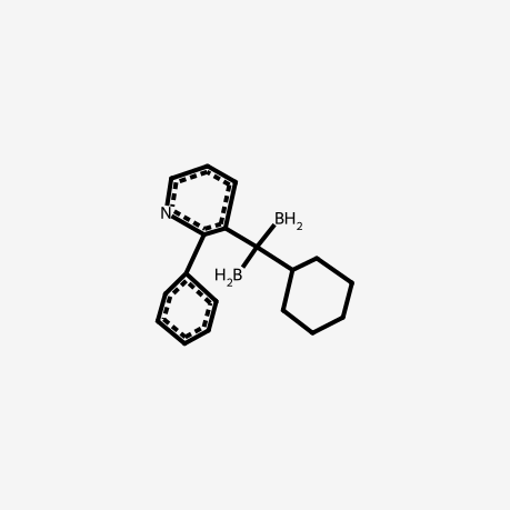 BC(B)(c1cccnc1-c1ccccc1)C1CCCCC1